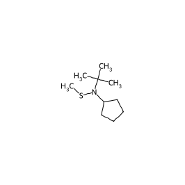 CSN(C1CCCC1)C(C)(C)C